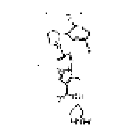 C=C(/C=C\n1ncc(C(=O)N[C@H]2CCNC2)c1C)N1CCC[C@@H]1c1cc(F)ccc1F